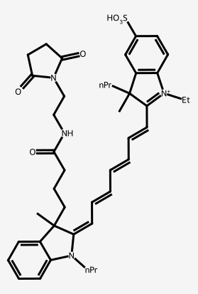 CCCN1/C(=C/C=C/C=C/C=C/C2=[N+](CC)c3ccc(S(=O)(=O)O)cc3C2(C)CCC)C(C)(CCCC(=O)NCCN2C(=O)CCC2=O)c2ccccc21